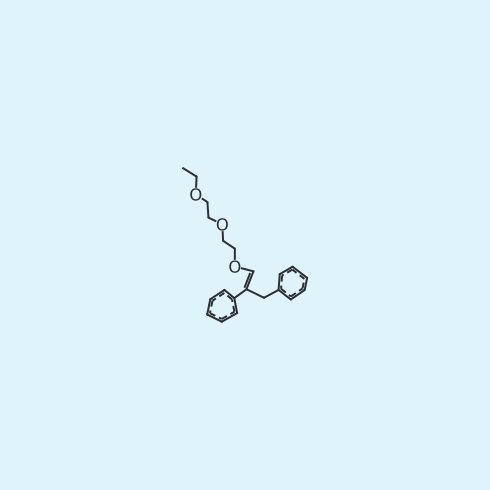 CCOCCOCCOC=C(Cc1ccccc1)c1ccccc1